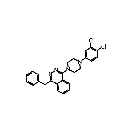 Clc1ccc(N2CCN(c3nnc(Cc4ccccc4)c4ccccc34)CC2)cc1Cl